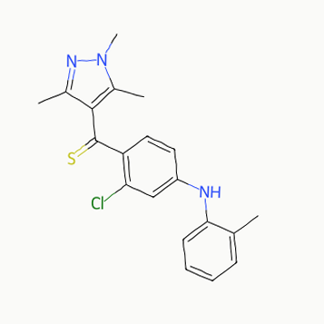 Cc1ccccc1Nc1ccc(C(=S)c2c(C)nn(C)c2C)c(Cl)c1